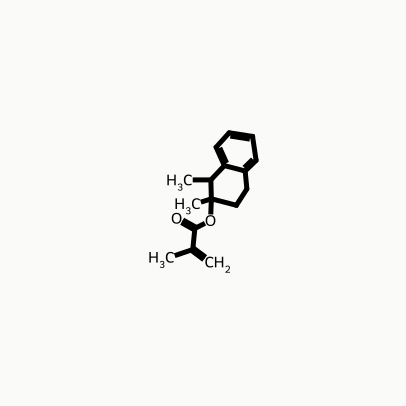 C=C(C)C(=O)OC1(C)CCc2ccccc2C1C